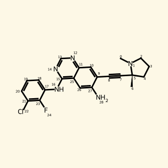 CN1CCC[C@]1(C)C#Cc1cc2ncnc(Nc3cccc(Cl)c3F)c2cc1N